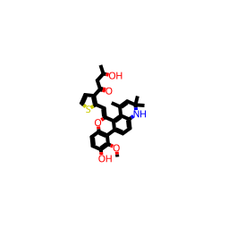 COc1c(O)ccc2c1-c1ccc3c(c1/C(=C/c1sccc1C(=O)CC(C)O)O2)C(C)=CC(C)(C)N3